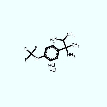 CC(N)C(C)(N)c1ccc(OC(F)(F)F)cc1.Cl.Cl